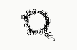 CCCN1C(=O)C[C@@H](C)N(C)C(=O)[C@H](C(C)C)N(C)C(=O)C2(CCCC2)NC(=O)[C@@H]2CCCN2C(=O)[C@H](CCc2ccc(C(F)(F)F)c(Cl)c2)NC(=O)CN(C)C(=O)[C@H](CC2CCCCC2)N(C)C(=O)CN(C)C(=O)CN(C)C(=O)[C@H]([C@@H](C)CC)NC(=O)[C@@H]1C